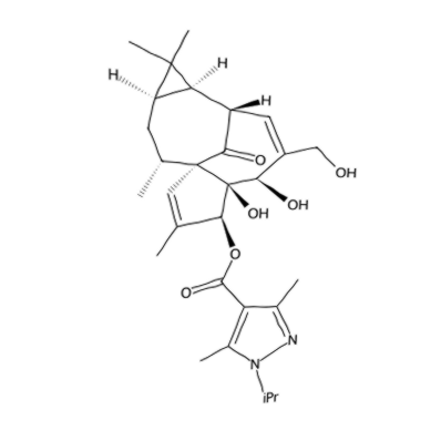 CC1=C[C@]23C(=O)[C@@H](C=C(CO)[C@@H](O)[C@]2(O)[C@H]1OC(=O)c1c(C)nn(C(C)C)c1C)[C@H]1[C@@H](C[C@H]3C)C1(C)C